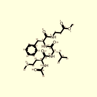 COC(=O)CCNC(=O)[C@H](Cc1ccccc1)NC(=O)[C@H](CC(C)C)NC(=O)[C@H](CCSC)NC(C)=O